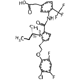 CC[C@H](C)n1c(CCOc2cc(Cl)c(F)cc2F)ccc1C(=O)Nc1cc(CC(=O)O)ccc1C(F)(F)F